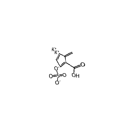 C=C1C=CC=C1C(=O)O.O=S(=O)([O-])[O-].[K+].[K+]